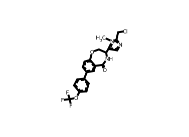 Cn1c(C2COc3ccc(-c4ccc(OC(F)(F)F)cc4)cc3C(=O)N2)cnc1CCl